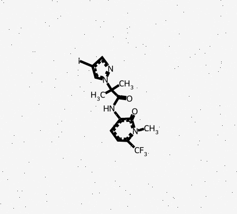 Cn1c(C(F)(F)F)ccc(NC(=O)C(C)(C)n2cc(I)cn2)c1=O